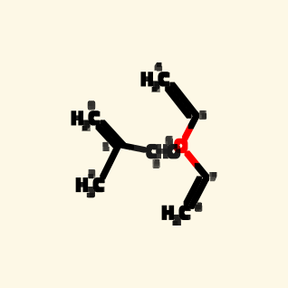 C=C(C)C=O.C=COC=C